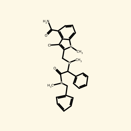 CN(Cc1ccccc1)C(=O)C(c1ccccc1)N(C)Cc1c(Cl)c2c(C(N)=O)[c]ccc2n1C